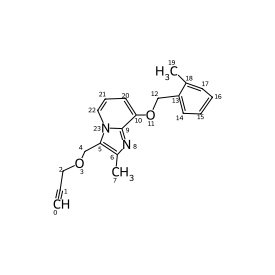 C#CCOCc1c(C)nc2c(OCc3ccccc3C)cccn12